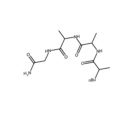 CCCCC(C)C(=O)NC(C)C(=O)NC(C)C(=O)NCC(N)=O